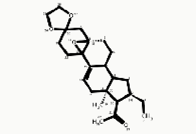 CC[C@@H]1CC2C3CC[C@]45CC6(CCC4(O5)C3=CC[C@]2(C)C1C(C)=O)OCCO6